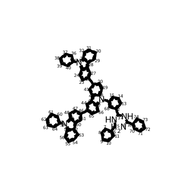 NC(NC(NCc1ccccc1)c1cccc(-n2c3ccc(-c4ccc5c(c4)c4ccccc4n5-c4ccccc4)cc3c3cc(-c4ccc5c(c4)c4ccccc4n5-c4ccccc4)ccc32)c1)c1ccccc1